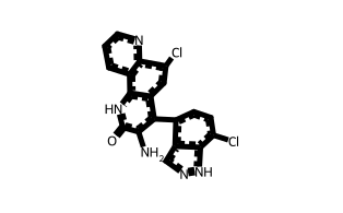 Nc1c(-c2ccc(Cl)c3[nH]ncc23)c2cc(Cl)c3ncccc3c2[nH]c1=O